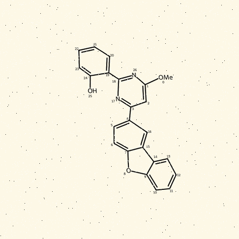 COc1cc(-c2ccc3oc4ccccc4c3c2)nc(-c2ccccc2O)n1